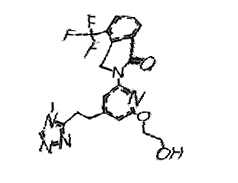 Cn1cnnc1CCc1cc(OCCO)nc(N2Cc3c(cccc3C(F)(F)F)C2=O)c1